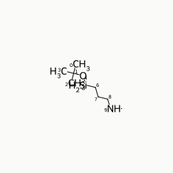 CC(C)(C)O[SiH2]CCC[NH]